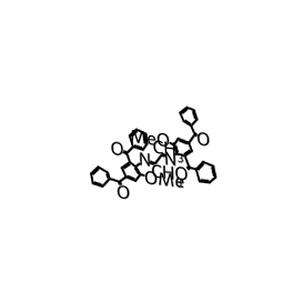 COc1cc(C(=O)c2ccccc2)cc(C(=O)c2ccccc2)c1/N=C(C)/C(C)=N/c1c(OC)cc(C(=O)c2ccccc2)cc1C(=O)c1ccccc1